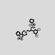 CN(C[C@H](CCN1CCC2(CC1)CS(=O)(=O)c1ccccc12)c1cc(Cl)cc(Cl)c1)S(=O)(=O)c1ccccc1